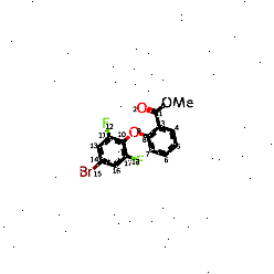 COC(=O)c1ccccc1Oc1c(F)cc(Br)cc1F